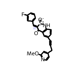 COc1cc(CC#Cc2ccc3c(c2)C(=O)/C(=C/c2cccc(F)c2)[S+]([O-])N3)ccn1